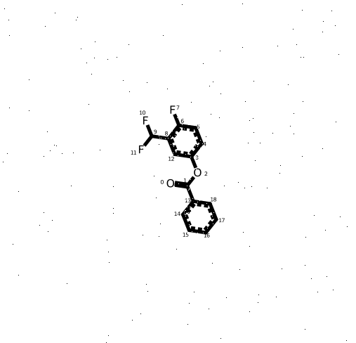 O=C(Oc1ccc(F)c(C(F)F)c1)c1ccccc1